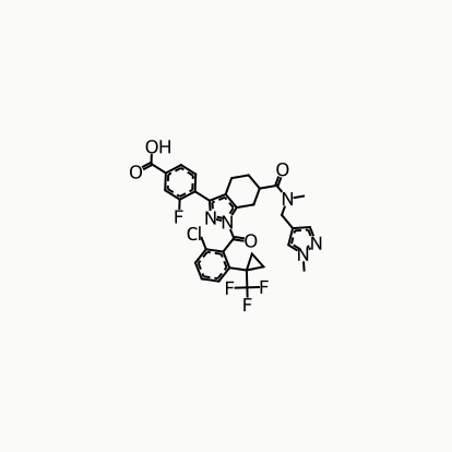 CN(Cc1cnn(C)c1)C(=O)C1CCc2c(-c3ccc(C(=O)O)cc3F)nn(C(=O)c3c(Cl)cccc3C3(C(F)(F)F)CC3)c2C1